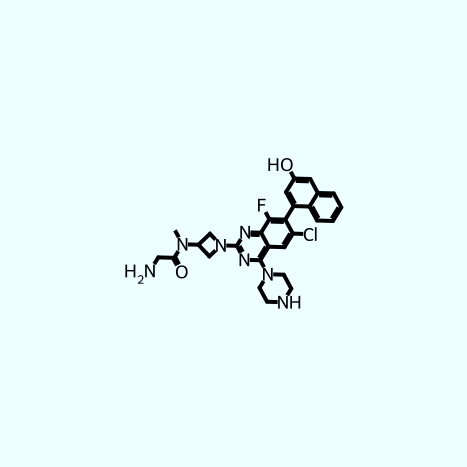 CN(C(=O)CN)C1CN(c2nc(N3CCNCC3)c3cc(Cl)c(-c4cc(O)cc5ccccc45)c(F)c3n2)C1